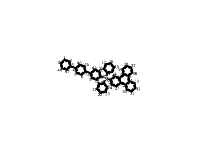 c1ccc(-c2ccc(-c3ccc([Si](c4ccccc4)(c4ccccc4)c4ccc5c6ccccc6c6ccccc6c5c4)cc3)cc2)cc1